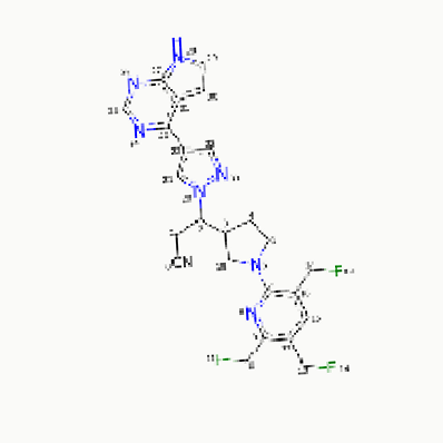 N#CCC(C1CCN(c2nc(CF)c(CF)cc2CF)C1)n1cc(-c2ncnc3[nH]ccc23)cn1